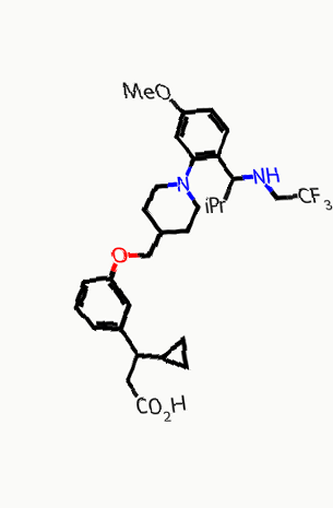 COc1ccc(C(NCC(F)(F)F)C(C)C)c(N2CCC(COc3cccc(C(CC(=O)O)C4CC4)c3)CC2)c1